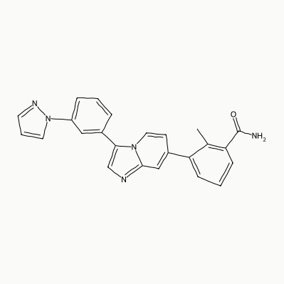 Cc1c(C(N)=O)cccc1-c1ccn2c(-c3cccc(-n4cccn4)c3)cnc2c1